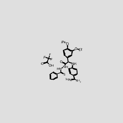 CCOc1cc(C(Nc2ccc(C(=N)N)cc2)C(=O)NNC(=S)c2ccccc2)ccc1OC(C)C.O=C(O)C(F)(F)F